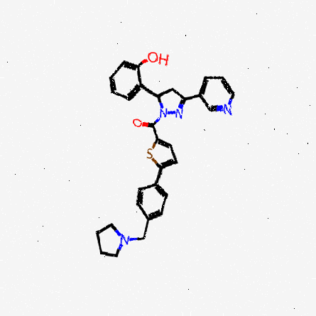 O=C(c1ccc(-c2ccc(CN3CCCC3)cc2)s1)N1N=C(c2cccnc2)CC1c1ccccc1O